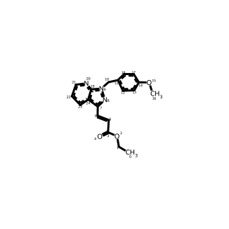 CCOC(=O)C=Cc1nn(Cc2ccc(OC)cc2)c2ncccc12